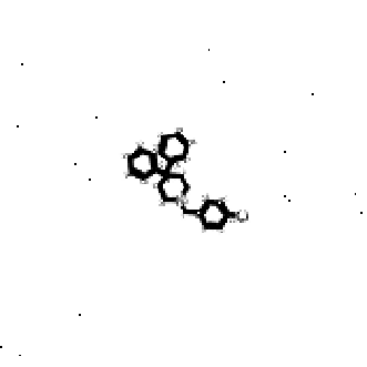 Clc1ccc(CN2CCC(c3ccccc3)(c3ccccc3)CC2)cc1